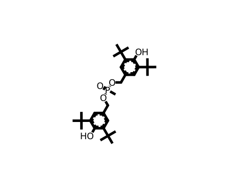 CC(C)(C)c1cc(COP(C)(=O)OCc2cc(C(C)(C)C)c(O)c(C(C)(C)C)c2)cc(C(C)(C)C)c1O